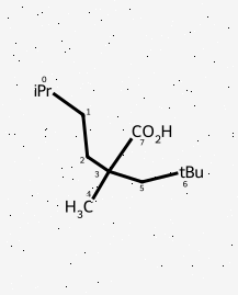 CC(C)CCC(C)(CC(C)(C)C)C(=O)O